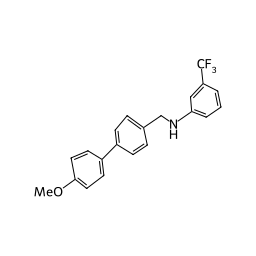 COc1ccc(-c2ccc(CNc3cccc(C(F)(F)F)c3)cc2)cc1